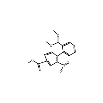 COC(=O)c1ccc(-c2ccccc2C(OC)OC)c([N+](=O)[O-])c1